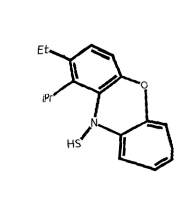 CCc1ccc2c(c1C(C)C)N(S)c1ccccc1O2